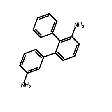 Nc1cccc(-c2cccc(N)c2-c2ccccc2)c1